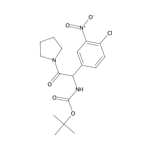 CC(C)(C)OC(=O)NC(C(=O)N1CCCC1)c1ccc(Cl)c([N+](=O)[O-])c1